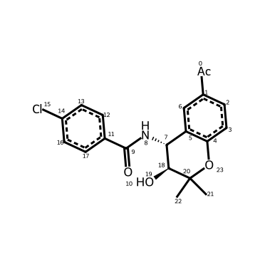 CC(=O)c1ccc2c(c1)[C@@H](NC(=O)c1ccc(Cl)cc1)[C@H](O)C(C)(C)O2